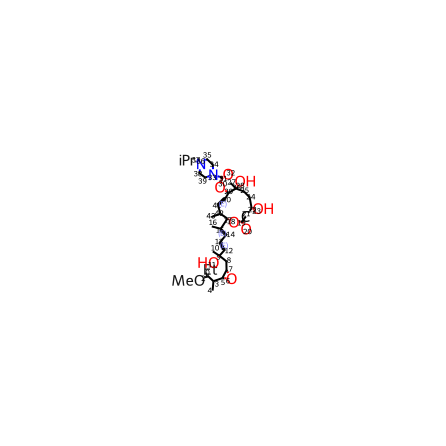 CCC(OC)C(C)C1OC1CC(C)(O)/C=C/C=C(\C)C1OC(=O)CC(O)CCC(C)(O)C(OC(=O)N2CCN(C(C)C)CC2)/C=C/C1C